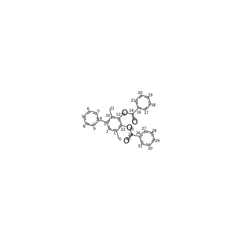 Cc1cc(-c2ccccc2)c(C)c(OC(=O)c2ccccc2)c1OC(=O)c1ccccc1